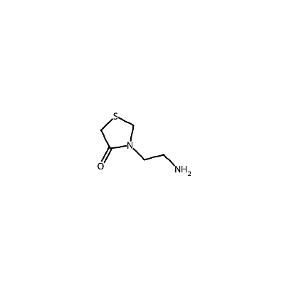 NCCN1CSCC1=O